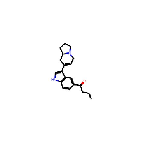 CCCC(=O)c1ccc2[nH]cc(C3=CCN4CCCC4C3)c2c1